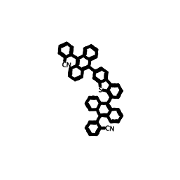 N#Cc1ccccc1C1=c2ccccc2=C(c2cccc3c2sc2cc(-c4c5ccccc5c(-c5ccccc5C#N)c5ccccc45)ccc23)C2C=CC=CC12